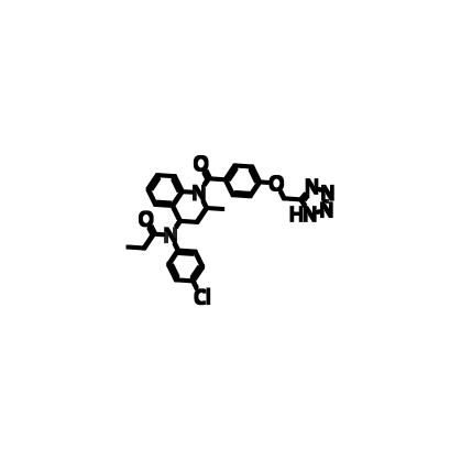 CCC(=O)N(c1ccc(Cl)cc1)C1CC(C)N(C(=O)c2ccc(OCc3nnn[nH]3)cc2)c2ccccc21